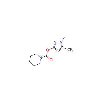 Cn1nc(OC(=O)N2CCCCC2)cc1C(F)(F)F